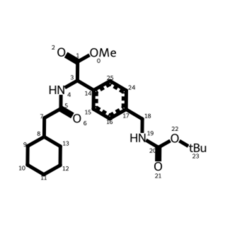 COC(=O)C(NC(=O)CC1CCCCC1)c1ccc(CNC(=O)OC(C)(C)C)cc1